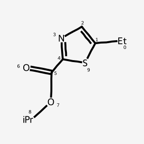 [CH2]Cc1cnc(C(=O)OC(C)C)s1